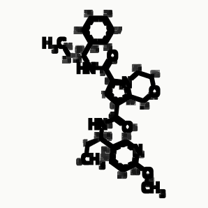 CC[C@@H](NC(=O)c1cc(C(=O)N[C@H](CC)c2ccccc2)n2c1COCC2)c1ccc(OC)nc1